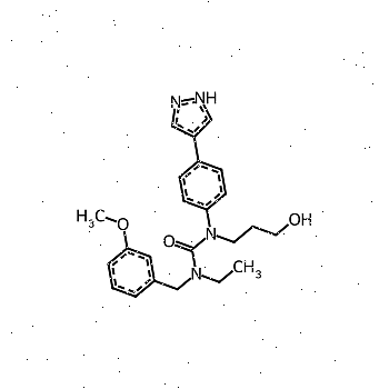 CCN(Cc1cccc(OC)c1)C(=O)N(CCCO)c1ccc(-c2cn[nH]c2)cc1